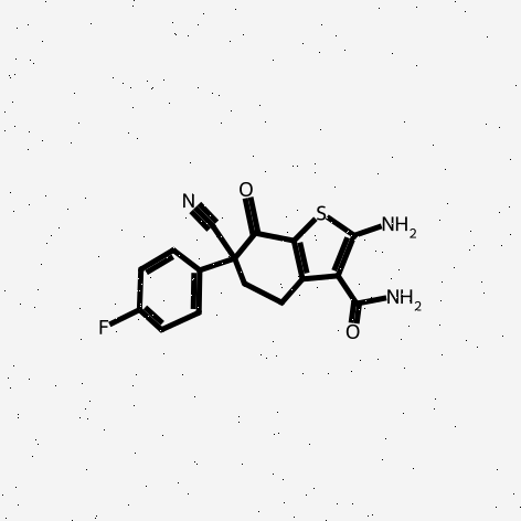 N#CC1(c2ccc(F)cc2)CCc2c(sc(N)c2C(N)=O)C1=O